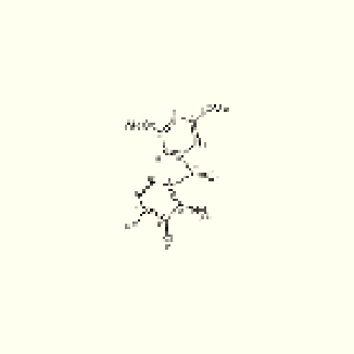 COc1cc(OC)nc(C(=O)c2ccc(F)c(Cl)c2N)n1